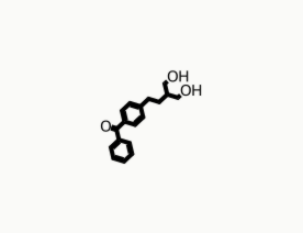 O=C(c1ccccc1)c1ccc(CCC(CO)CO)cc1